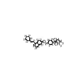 CC(C)(C)c1ccc(COc2ccc3c(C=CC4=CCCC=C4)nccc3c2)cc1